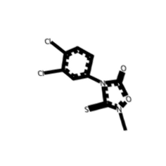 Cn1oc(=O)n(-c2ccc(Cl)c(Cl)c2)c1=S